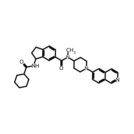 CN(C(=O)c1ccc2c(c1)C(NC(=O)C1CCCCC1)CC2)C1CCN(c2ccc3cnccc3c2)CC1